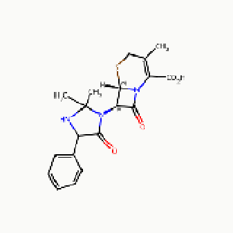 CC1=C(C(=O)O)N2C(=O)[C@@H](N3C(=O)C(c4ccccc4)NC3(C)C)[C@@H]2SC1